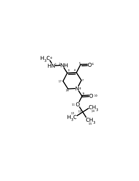 CNNC1=C(C=O)CN(C(=O)OC(C)(C)C)CC1